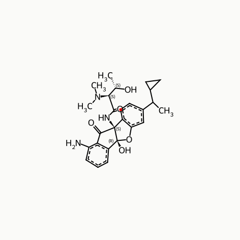 CC(c1ccc2c(c1)O[C@]1(O)c3cccc(N)c3C(=O)[C@]21NC(=O)[C@H]([C@H](C)O)N(C)C)C1CC1